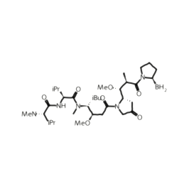 B[C@@H]1CCCN1C(=O)[C@H](C)[C@@H](OC)[C@@H]1CC(=O)CN1C(=O)C[C@@H](OC)[C@H]([C@@H](C)CC)N(C)C(=O)[C@@H](NC(=O)[C@@H](NC)C(C)C)C(C)C